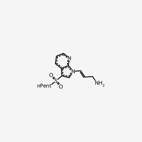 CCCCCS(=O)(=O)c1cn(C=CCN)c2ncccc12